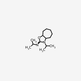 CC(C)/N=C1\OC2CCCCCC2N1C(C)C